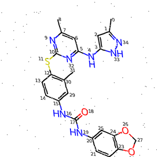 Cc1cc(Nc2cc(C)nc(Sc3ccc(NC(=O)Nc4ccc5c(c4)OCO5)cc3C)n2)[nH]n1